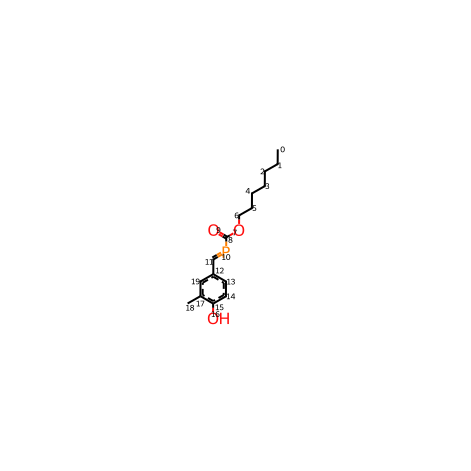 CCCCCCCOC(=O)/P=C/c1ccc(O)c(C)c1